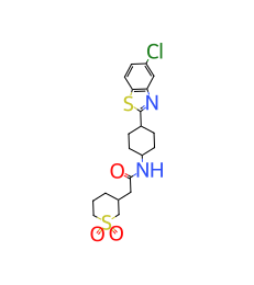 O=C(CC1CCCS(=O)(=O)C1)NC1CCC(c2nc3cc(Cl)ccc3s2)CC1